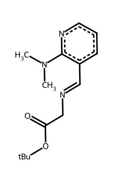 CN(C)c1ncccc1/C=N/CC(=O)OC(C)(C)C